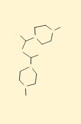 CCC([N]C(CC)N1CCN(CC)CC1)N1CCN(CC)CC1